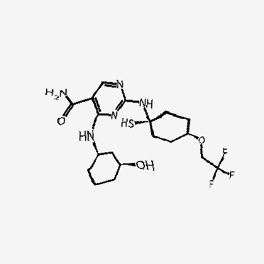 NC(=O)c1cnc(N[C@]2(S)CC[C@@H](OCC(F)(F)F)CC2)nc1N[C@@H]1CCC[C@H](O)C1